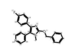 Cn1c(OCc2ccccc2)nc(-c2ccc(F)cc2)c1-c1ccncc1